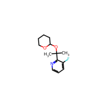 CC(C)(OC1CCCCO1)c1ncccc1F